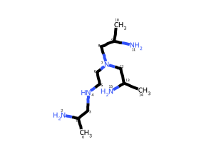 CC(N)CNCCN(CC(C)N)CC(C)N